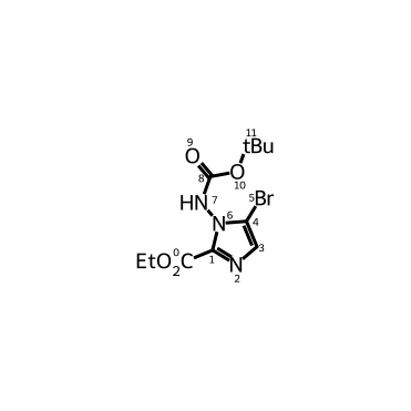 CCOC(=O)c1ncc(Br)n1NC(=O)OC(C)(C)C